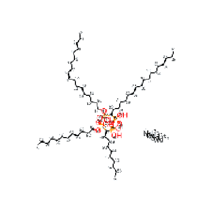 CCCCCCCC/C=C\CCCCCCCCOP(=O)(O)C(CCCCCCCCCCCCCCCCC)P(=O)(O)OP(=O)(O)C(CCCCCCCCC)P(=O)(O)OCCCCCCCCCCCC.[Nd+3].[Nd+3].[Nd+3].[Nd+3]